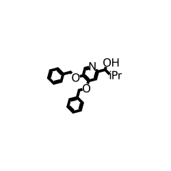 CC(C)C(O)c1cc(OCc2ccccc2)c(OCc2ccccc2)cn1